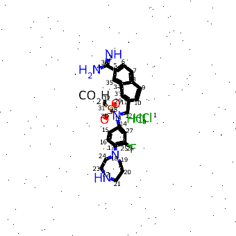 Cl.Cl.N=C(N)c1ccc2ccc(CN(c3ccc(N4CCCNCC4)c(F)c3)S(=O)(=O)CC(=O)O)cc2c1